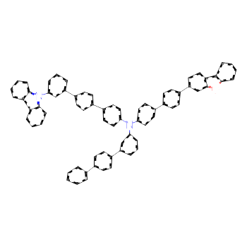 c1ccc(-c2ccc(-c3cccc(N(c4ccc(-c5ccc(-c6cccc(-n7c8ccccc8c8ccccc87)c6)cc5)cc4)c4ccc(-c5ccc(-c6ccc7c(c6)oc6ccccc67)cc5)cc4)c3)cc2)cc1